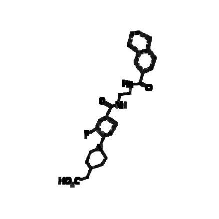 O=C(O)CC1CCN(c2ccc(C(=O)NCCNC(=O)c3ccc4ccccc4c3)cc2F)CC1